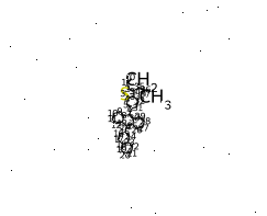 C=Cc1sc2cc(-c3c4ccccc4c(-c4ccc5ccccc5c4)c4ccccc34)ccc2c1/C=C\C